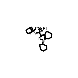 CCOC(=O)C1(NC(=O)c2nn(C3CCCCC3)c3c2CCCCC3)CC2CCC1C2